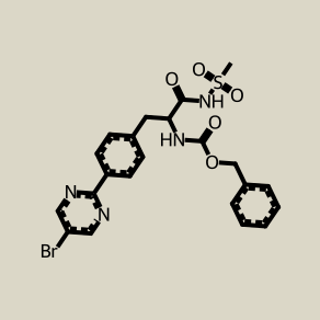 CS(=O)(=O)NC(=O)C(Cc1ccc(-c2ncc(Br)cn2)cc1)NC(=O)OCc1ccccc1